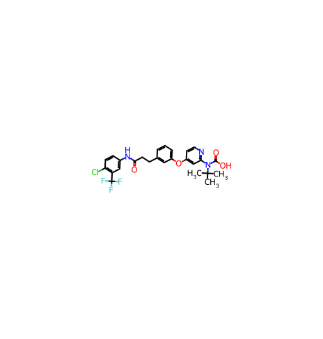 CC(C)(C)N(C(=O)O)c1cc(Oc2cccc(CCC(=O)Nc3ccc(Cl)c(C(F)(F)F)c3)c2)ccn1